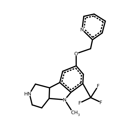 CN1c2c(cc(OCc3ccccn3)cc2C(F)(F)F)C2CNCCC21